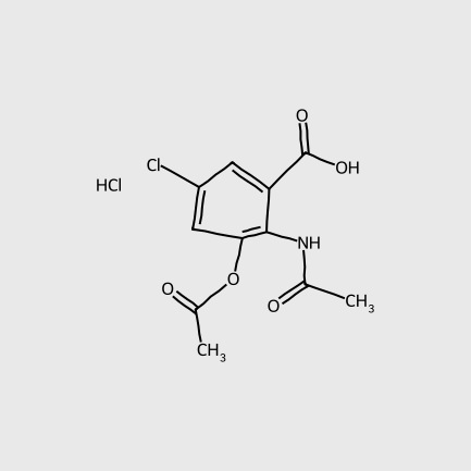 CC(=O)Nc1c(OC(C)=O)cc(Cl)cc1C(=O)O.Cl